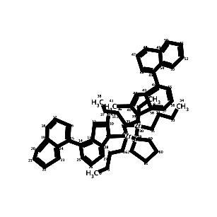 CCC[CH2][Zr]([CH2]CCC)([CH]1C(C)=Cc2c(-c3cccc4ccccc34)cccc21)[Si]1([Zr]([CH2]CCC)([CH2]CCC)[CH]2C(C)=Cc3c(-c4cccc5ccccc45)cccc32)CCCC1